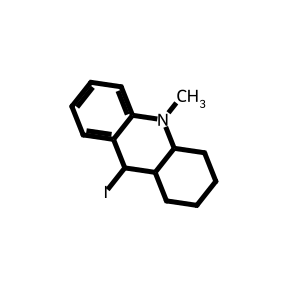 CN1c2ccccc2C(I)C2CCCCC21